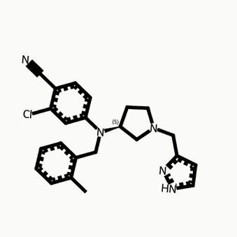 Cc1ccccc1CN(c1ccc(C#N)c(Cl)c1)[C@H]1CCN(Cc2cc[nH]n2)C1